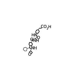 CC(C)(NC(=O)c1ccc2c(C3CCCCC3)c(-c3ccoc3)[nH]c2c1)C(=O)Nc1ccc(C=CC(=O)O)cc1